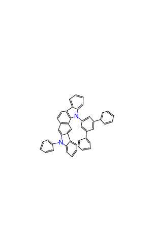 c1ccc(-c2cc(-c3ccccc3)cc(-n3c4ccccc4c4ccc5cc6c(cc5c43)c3ccccc3n6-c3ccccc3)c2)cc1